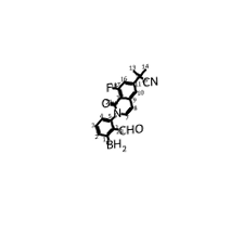 Bc1cccc(-n2ccc3cc(C(C)(C)C#N)cc(F)c3c2=O)c1C=O